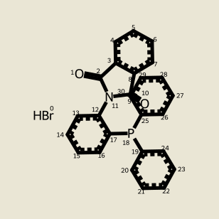 Br.O=C1c2ccccc2C(=O)N1c1ccccc1P(c1ccccc1)c1ccccc1